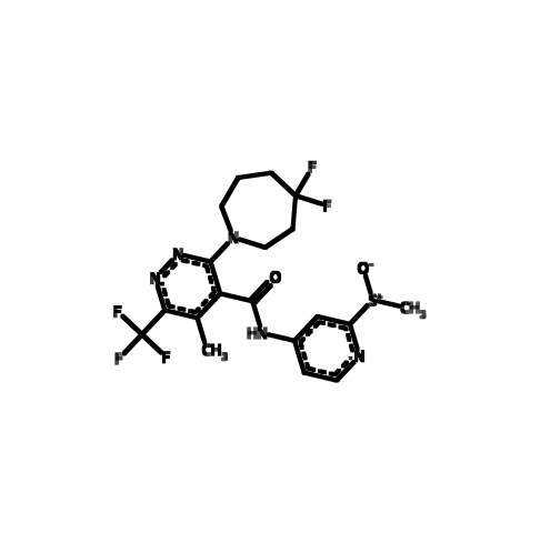 Cc1c(C(F)(F)F)nnc(N2CCCC(F)(F)CC2)c1C(=O)Nc1ccnc([S+](C)[O-])c1